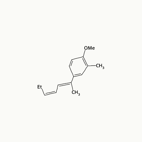 CC/C=C\C=C(/C)c1ccc(OC)c(C)c1